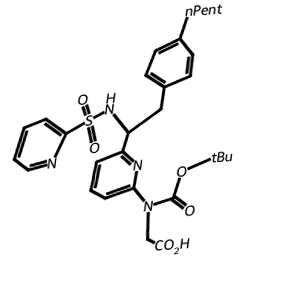 CCCCCc1ccc(CC(NS(=O)(=O)c2ccccn2)c2cccc(N(CC(=O)O)C(=O)OC(C)(C)C)n2)cc1